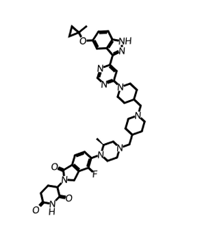 C[C@H]1CN(CC2CCN(CC3CCN(c4cc(-c5n[nH]c6ccc(OC7(C)CC7)cc56)ncn4)CC3)CC2)CCN1c1ccc2c(c1F)CN(C1CCC(=O)NC1=O)C2=O